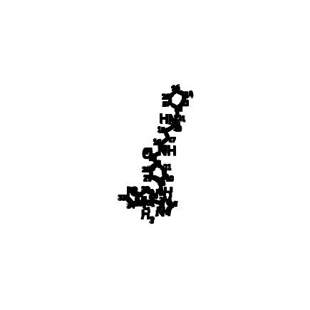 CC(c1ncc[nH]1)N(Cc1ccc(C(=O)NCCCCNCC2CCCCC2)cc1)Cc1ncc[nH]1